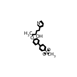 CC(Oc1ccc(-c2ccc(S(C)(=O)=O)cc2)cc1)C(O)CCc1cccnc1